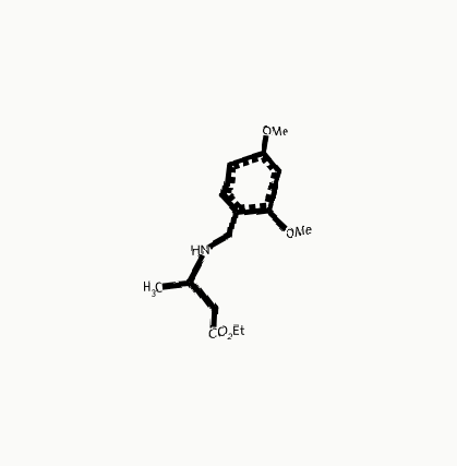 CCOC(=O)CC(C)NCc1ccc(OC)cc1OC